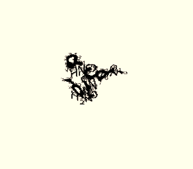 CCNC(=O)c1ccc(-c2nc(N(C(N)=O)c3cc(C4CC4)ccc3C)sc2C(=O)NCc2ccccc2)cc1